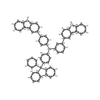 c1ccc(C2(c3ccc(N(c4ccc(-c5ccc6sc7ccccc7c6c5)cc4)c4cccc(-c5ccc6oc7ccccc7c6c5)c4)cc3)c3ccccc3-c3ccccc32)cc1